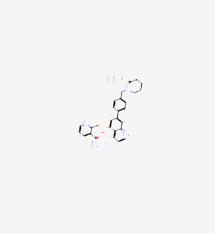 C=C1CCCCN1Cc1ccc(-c2cc(OCc3ncccc3C(N)=O)c3cccnc3c2)cc1